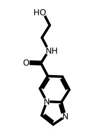 O=C(NCCO)c1ccc2nccn2c1